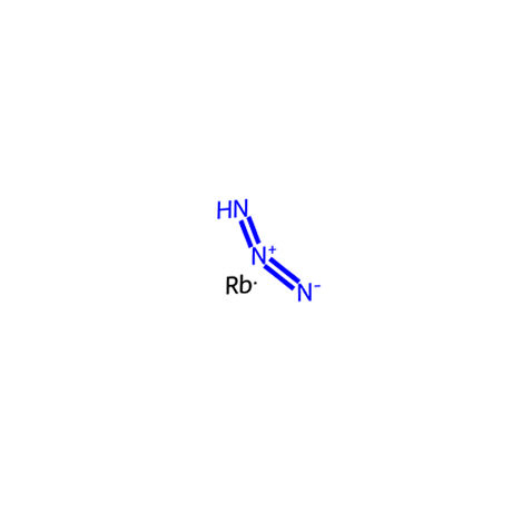 [N-]=[N+]=N.[Rb]